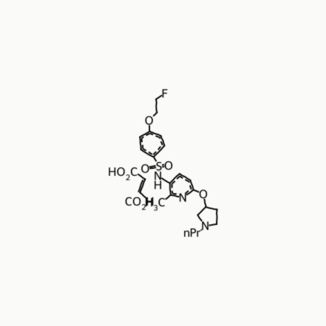 CCCN1CCC(Oc2ccc(NS(=O)(=O)c3ccc(OCCF)cc3)c(C)n2)C1.O=C(O)C=CC(=O)O